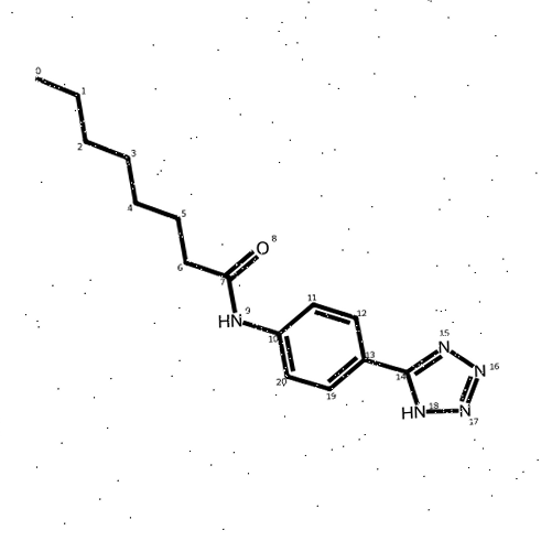 CCCCCCCC(=O)Nc1ccc(-c2nnn[nH]2)cc1